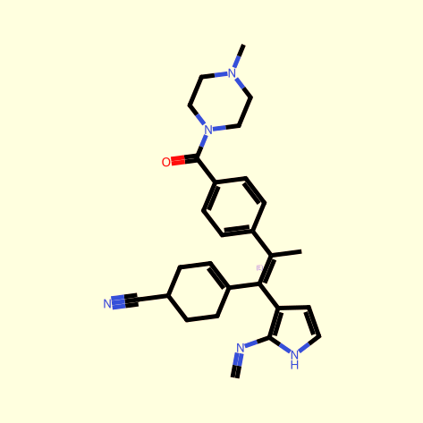 C=Nc1[nH]ccc1/C(C1=CCC(C#N)CC1)=C(\C)c1ccc(C(=O)N2CCN(C)CC2)cc1